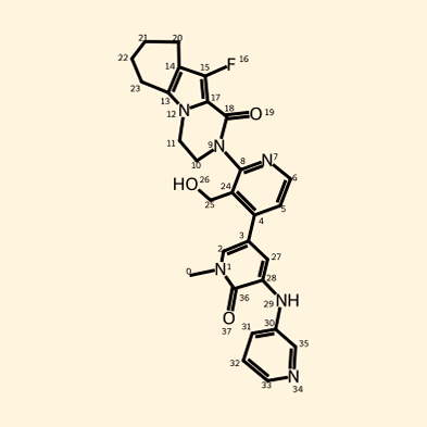 Cn1cc(-c2ccnc(N3CCn4c5c(c(F)c4C3=O)CCCC5)c2CO)cc(Nc2cccnc2)c1=O